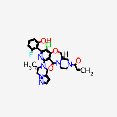 C=CC(=O)N1CCN2C(=O)c3c(N4Cc5ccnn5C[C@@H]4C)nc(-c4c(O)cccc4F)c(Cl)c3OC[C@H]2C1